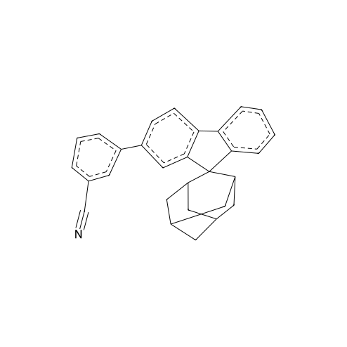 N#Cc1cccc(-c2ccc3c(c2)C2(c4ccccc4-3)C3CC4CC(C3)CC2C4)c1